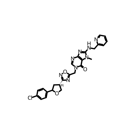 Cn1c(NCc2ccccn2)nc2ncn(Cc3nc([C@@H]4COC(c5ccc(Cl)cc5)C4)no3)c(=O)c21